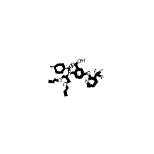 C=CCOCC(COCC=C)N(c1ccc(Oc2ncccc2C(F)(F)F)cc1C(=O)O)C(=O)[C@H]1CC[C@H](C)CC1